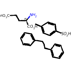 Cc1ccc(S(=O)(=O)O)cc1.N[C@H](CCC(=O)O)C(=O)O.c1ccc(CCc2ccccc2)cc1